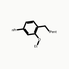 CCCc1ccc(CC(C)CCC)c(OCC)c1